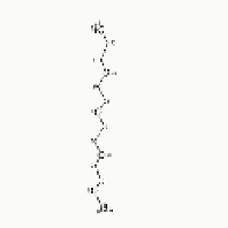 CCC(C)OCCOCCOCCOCCO